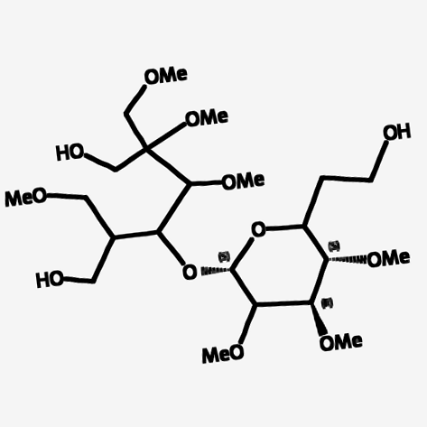 COCC(CO)C(O[C@@H]1OC(CCO)[C@H](OC)[C@@H](OC)C1OC)C(OC)C(CO)(COC)OC